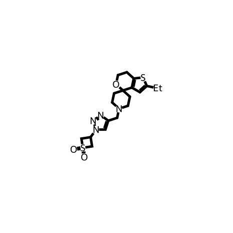 CCc1cc2c(s1)CCOC21CCN(Cc2cn(C3CS(=O)(=O)C3)nn2)CC1